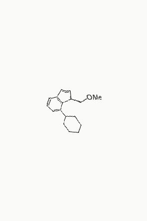 COCC1C=Cc2cccc(C3CCCCC3)c21